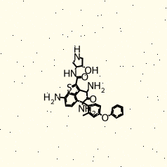 Cc1cc(Oc2ccccc2)ccc1C1(N)C(=O)C(N)c2c(C(=O)N[C@H]3CNC[C@H]3O)sc3c(N)ccc1c23